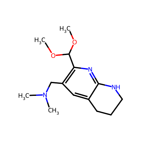 COC(OC)c1nc2c(cc1CN(C)C)CCCN2